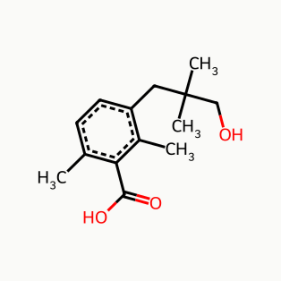 Cc1ccc(CC(C)(C)CO)c(C)c1C(=O)O